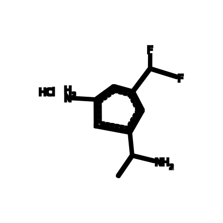 CC(N)c1cc(N)cc(C(F)F)c1.Cl